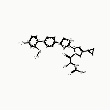 COC(=O)NC(C(=O)N1CC(C2CC2)=CC1c1nc(-c2ccc(-c3ccc(C(=O)O)cc3OC(F)(F)F)cc2)c[nH]1)C(C)C